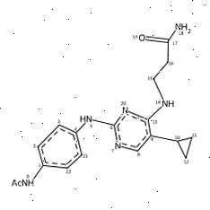 CC(=O)Nc1ccc(Nc2ncc(C3CC3)c(NCCC(N)=O)n2)cc1